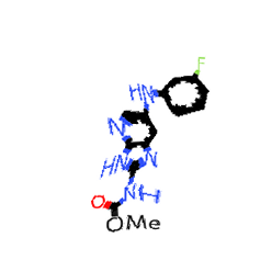 COC(=O)Nc1nc2cc(Nc3cccc(F)c3)cnc2[nH]1